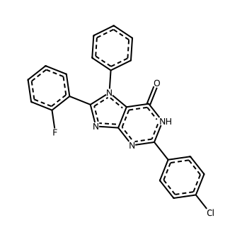 O=c1[nH]c(-c2ccc(Cl)cc2)nc2nc(-c3ccccc3F)n(-c3ccccc3)c12